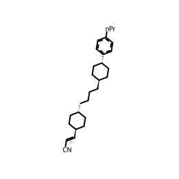 CCCc1ccc([C@H]2CC[C@H](CCCC[C@H]3CC[C@H](/C=C/C#N)CC3)CC2)cc1